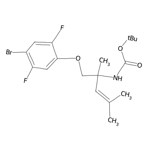 CC(C)=CC(C)(COc1cc(F)c(Br)cc1F)NC(=O)OC(C)(C)C